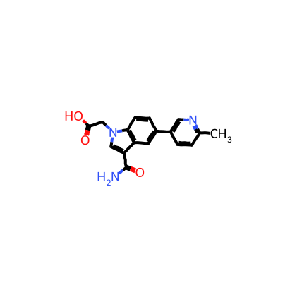 Cc1ccc(-c2ccc3c(c2)c(C(N)=O)cn3CC(=O)O)cn1